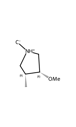 [CH2-][NH+]1C[C@@H](C)[C@@H](OC)C1